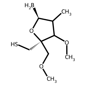 B[C@@H]1O[C@](CS)(COC)C(OC)C1C